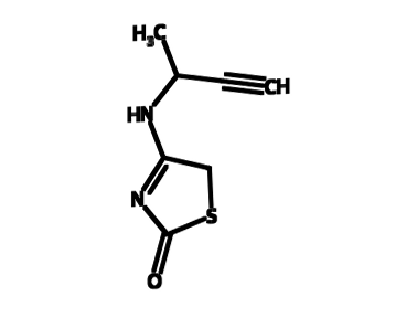 C#CC(C)NC1=NC(=O)SC1